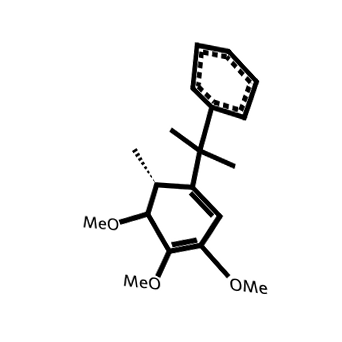 COC1=C(OC)C(OC)[C@H](C)C(C(C)(C)c2ccccc2)=C1